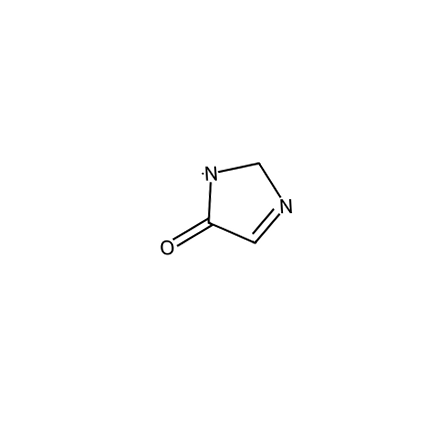 O=C1C=NC[N]1